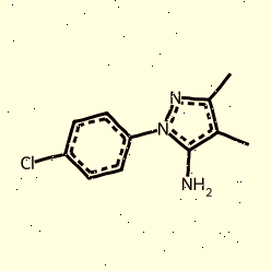 Cc1nn(-c2ccc(Cl)cc2)c(N)c1C